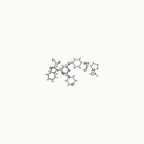 CN1CCC[C@H]1C(=O)N[C@H]1CC[C@H](Oc2cc(-n3c(C(F)F)nc4ccccc43)nc(N3CCOCC3)n2)CC1